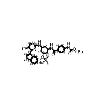 CC(C)(C)OC(=O)Nc1ccc(C(=O)NC2CC(Nc3ncc(Cl)c(C4=CCc5ccccc54)n3)C[C@@H](O[Si](C)(C)C(C)(C)C)C2)cc1